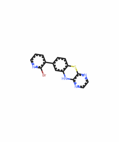 Brc1nc[c]cc1-c1ccc2c(c1)Nc1nccnc1S2